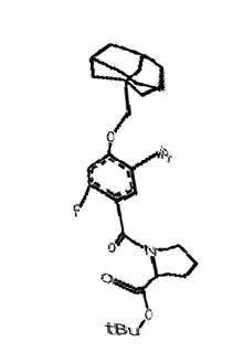 CC(C)c1cc(C(=O)N2CCCC2C(=O)OC(C)(C)C)c(F)cc1OCC12CC3CC(CC(C3)C1)C2